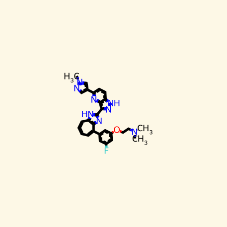 CN(C)CCOc1cc(F)cc(C2=CC=C=Cc3[nH]c(-c4n[nH]c5ccc(-c6cnn(C)c6)nc45)nc32)c1